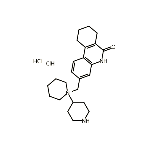 Cl.Cl.O=c1[nH]c2cc(C[N+]3(C4CCNCC4)CCCCC3)ccc2c2c1CCCC2